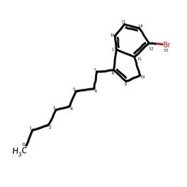 CCCCCCCCC1=CCc2c(Br)cccc21